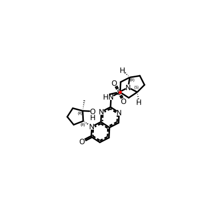 C[C@@]1(O)CCC[C@H]1n1c(=O)ccc2cnc(NC3C[C@H]4CC[C@@H](C3)N4S(C)(=O)=O)nc21